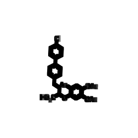 CC(=O)Oc1cc(OC(CCc2ccc(-c3ccc(Cl)cc3)cc2)C(=O)O)c(C(C)=O)cc1OC(C)=O